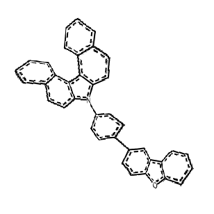 c1ccc2c(c1)ccc1c2c2c3ccccc3ccc2n1-c1ccc(-c2ccc3oc4ccccc4c3c2)cc1